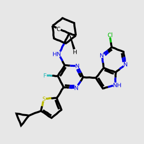 Fc1c(N[C@@H]2CC3CCC2CC3)nc(-c2c[nH]c3ncc(Cl)nc23)nc1-c1ccc(C2CC2)s1